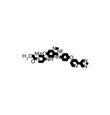 C=CC(=O)N1CCC(Nc2cc3c(Nc4ccc(Oc5ccnc(-c6cncnc6)c5)cc4F)ncnc3cc2OC)CC1